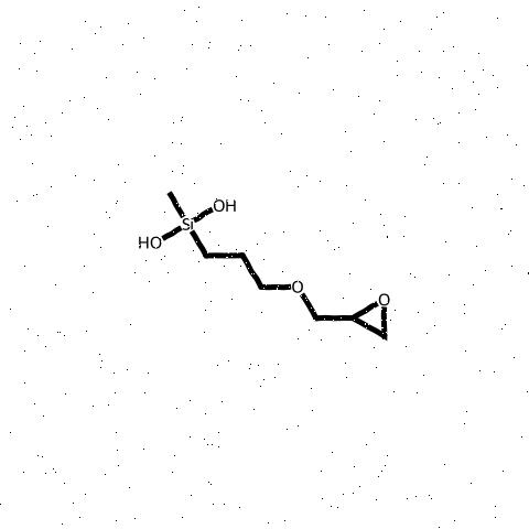 C[Si](O)(O)CCCOCC1CO1